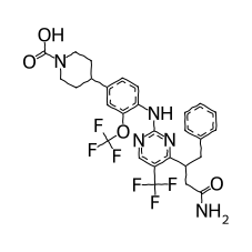 NC(=O)CC(Cc1ccccc1)c1nc(Nc2ccc(C3CCN(C(=O)O)CC3)cc2OC(F)(F)F)ncc1C(F)(F)F